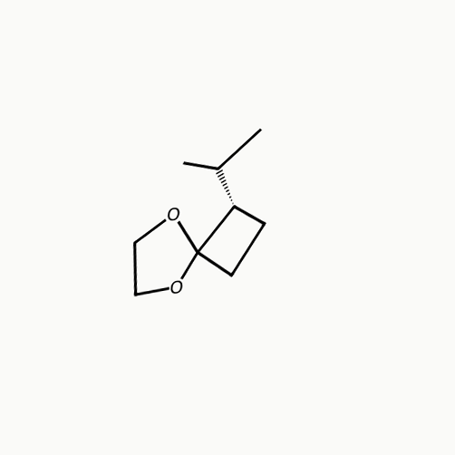 CC(C)[C@@H]1CCC12OCCO2